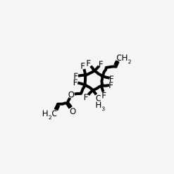 C=CCC1(F)C(F)(F)C(C)(F)C(F)(COC(=O)C=C)C(F)(F)C1(F)F